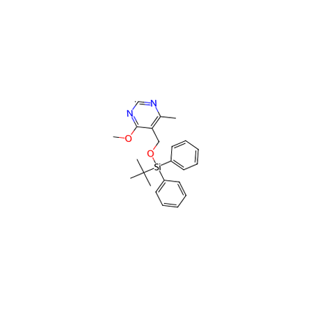 COc1n[c]nc(C)c1CO[Si](c1ccccc1)(c1ccccc1)C(C)(C)C